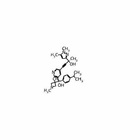 Cc1cc([C@@](C)(O)C#Cc2cncc([C@@](O)(c3ccc(C(C)C)cc3)C3(C)CN(C)C3)c2)nn1C